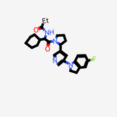 CCC(=O)NC(C(=O)N1CCCC1c1cncc(N2CCc3cc(F)ccc32)c1)C1CCCCC1